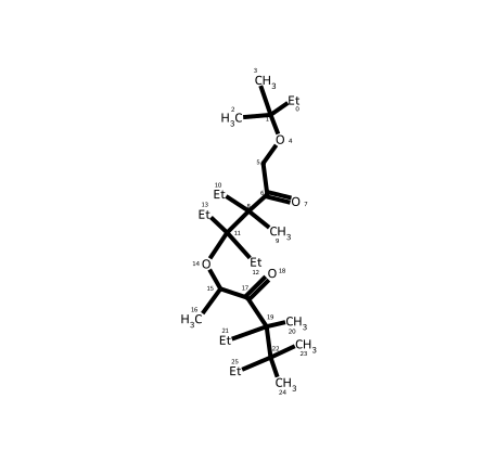 CCC(C)(C)OCC(=O)C(C)(CC)C(CC)(CC)OC(C)C(=O)C(C)(CC)C(C)(C)CC